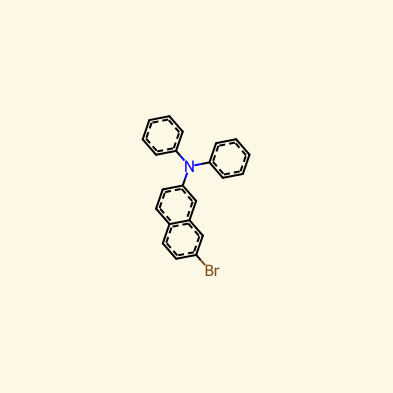 Brc1ccc2ccc(N(c3ccccc3)c3ccccc3)cc2c1